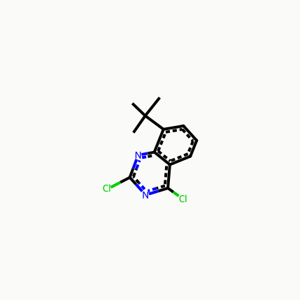 CC(C)(C)c1cccc2c(Cl)nc(Cl)nc12